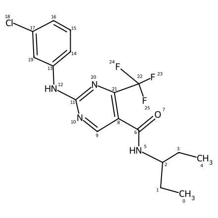 CCC(CC)NC(=O)c1cnc(Nc2cccc(Cl)c2)nc1C(F)(F)F